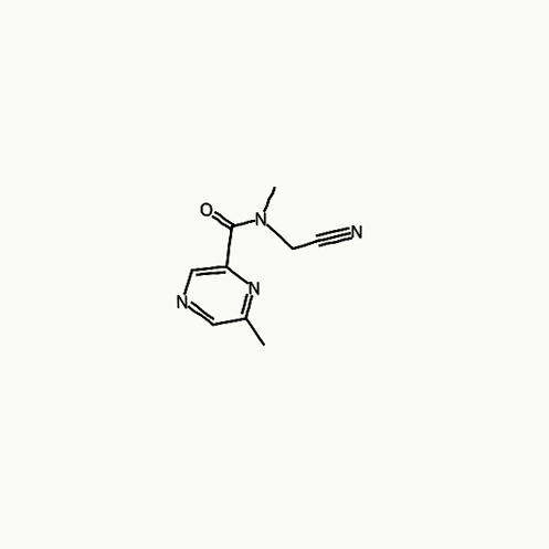 Cc1cncc(C(=O)N(C)CC#N)n1